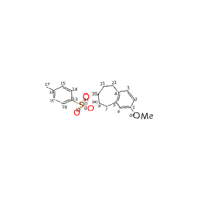 COc1ccc2c(c1)C[C@H](OS(=O)(=O)c1ccc(C)cc1)CCC2